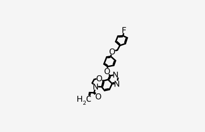 C=CC(=O)N1CCOc2c1ccc1ncnc(Oc3ccc(OCc4ccc(F)cc4)cc3)c21